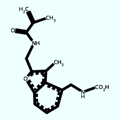 C=C(C)C(=O)NCc1oc2cccc(CNC(=O)O)c2c1C